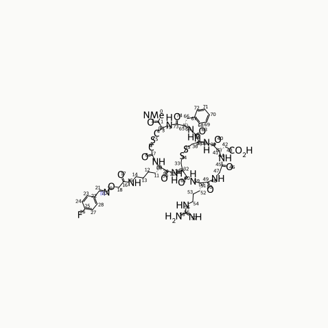 CNC(=O)[C@@H]1CSCC(=O)N[C@@H](CCCCNC(=O)CO/N=C/c2ccc(F)cc2)C(=O)N[C@H]2CSSC[C@H](NC(=O)[C@H](CC(=O)O)NC(=O)CNC(=O)[C@H](CCCNC(=N)N)NC2=O)C(=O)N[C@@H](Cc2ccccc2)C(=O)N1